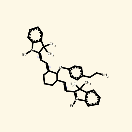 CCN1/C(=C/C=C2\CCCC(/C=C/C3=[N+](CC)c4ccccc4C3(C)C)C2Oc2ccc(CCN)cc2)C(C)(C)c2ccccc21